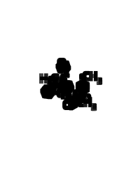 COC(OC)(C(=O)c1ccccc1)c1ccccc1SCN1CCOCC1.CSc1ccc(C(=O)C(C)(C)N2CCOCC2)cc1